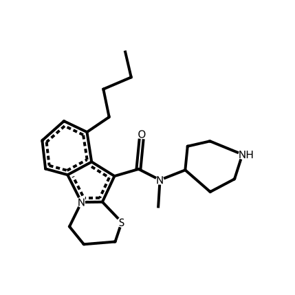 CCCCc1cccc2c1c(C(=O)N(C)C1CCNCC1)c1n2CCCS1